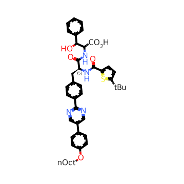 CCCCCCCCOc1ccc(-c2cnc(-c3ccc(C[C@H](NC(=O)c4ccc(C(C)(C)C)s4)C(=O)NC(C(=O)O)C(O)c4ccccc4)cc3)nc2)cc1